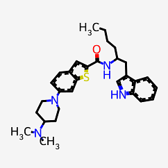 CCCCC(Cc1c[nH]c2ccccc12)NC(=O)c1cc2ccc(N3CCC(N(C)C)CC3)cc2s1